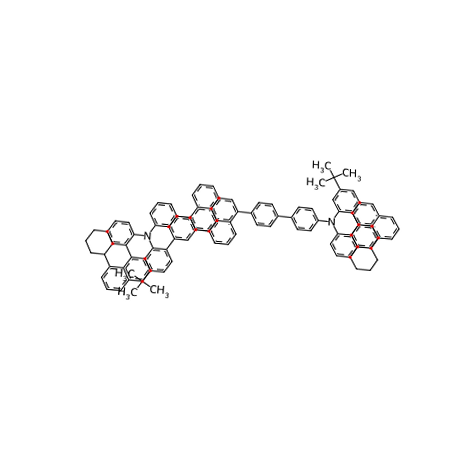 CC(C)(C)c1ccc(-c2ccccc2)c(N(c2ccc(-c3ccc(-c4cccc5c(-c6cccc(-c7ccc(C(C)(C)C)cc7N(c7cccc(-c8cccc9ccccc89)c7)c7ccccc7-c7cccc8cccc(C9CCCCC9)c78)c6)cccc45)cc3)cc2)c2ccccc2-c2cccc3cccc(C4CCCCC4)c23)c1